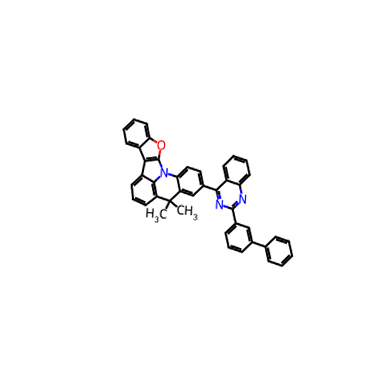 CC1(C)c2cc(-c3nc(-c4cccc(-c5ccccc5)c4)nc4ccccc34)ccc2-n2c3oc4ccccc4c3c3cccc1c32